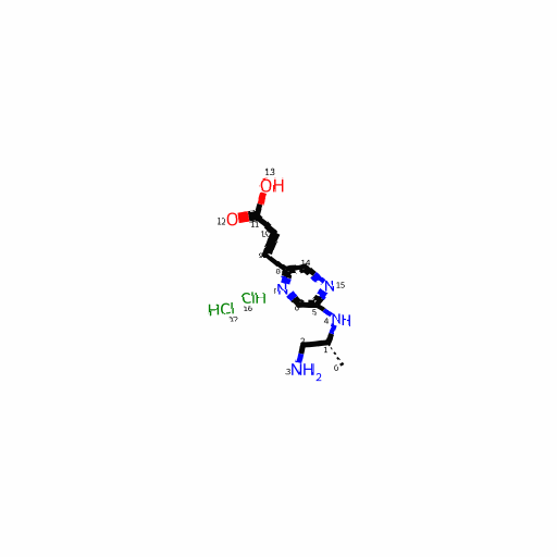 C[C@H](CN)Nc1cnc(C=CC(=O)O)cn1.Cl.Cl